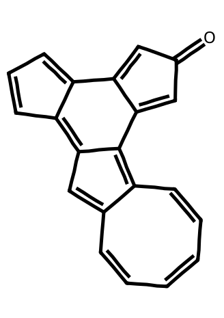 O=c1cc2c3cccc3c3cc4ccccccc4c3c2c1